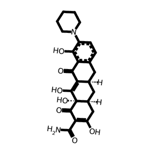 NC(=O)C1=C(O)C[C@@H]2C[C@@H]3Cc4ccc(N5CCCCC5)c(O)c4C(=O)C3=C(O)[C@]2(O)C1=O